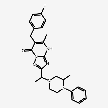 Cc1[nH]c2nc(C(C)N3CCN(c4ccccc4)C(C)C3)nn2c(=O)c1Cc1ccc(F)cc1